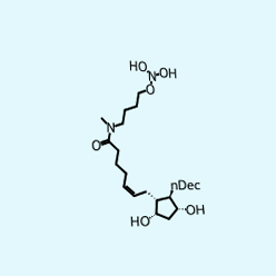 CCCCCCCCCC[C@@H]1[C@@H](C/C=C\CCCC(=O)N(C)CCCCON(O)O)[C@@H](O)C[C@H]1O